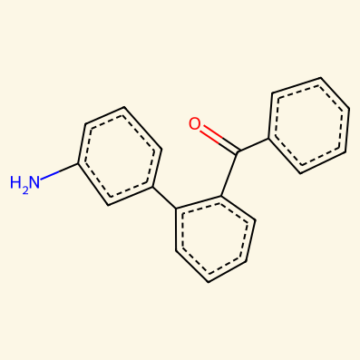 Nc1cccc(-c2ccccc2C(=O)c2ccccc2)c1